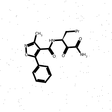 Cc1noc(-c2ccccc2)c1C(=O)N[C@@H](CC(C)C)C(=O)C(N)=O